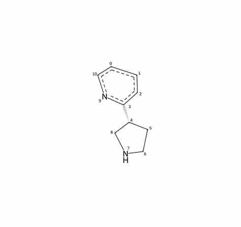 c1ccc([C@@H]2CCNC2)nc1